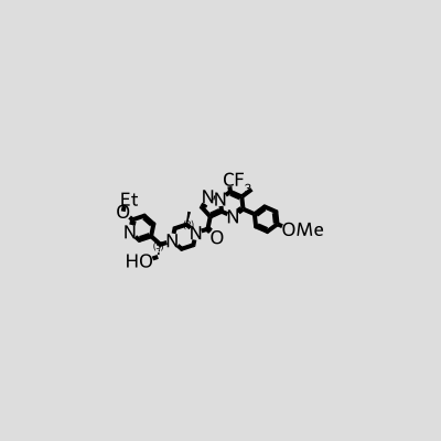 CCOc1ccc([C@@H](CO)N2CCN(C(=O)c3cnn4c(C(F)(F)F)c(C)c(-c5ccc(OC)cc5)nc34)[C@H](C)C2)cn1